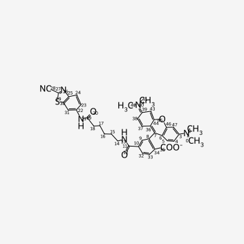 CN(C)c1ccc2c(-c3cc(C(=O)NCCCCCC(=O)Nc4ccc5nc(C#N)sc5c4)ccc3C(=O)[O-])c3ccc(=[N+](C)C)cc-3oc2c1